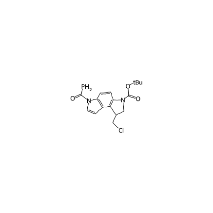 CC(C)(C)OC(=O)N1CC(CCl)c2c1ccc1c2ccn1C(=O)P